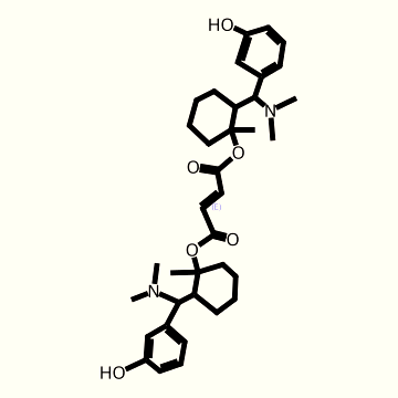 CN(C)C(c1cccc(O)c1)C1CCCCC1(C)OC(=O)/C=C/C(=O)OC1(C)CCCCC1C(c1cccc(O)c1)N(C)C